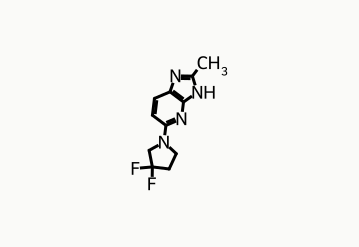 Cc1nc2ccc(N3CCC(F)(F)C3)nc2[nH]1